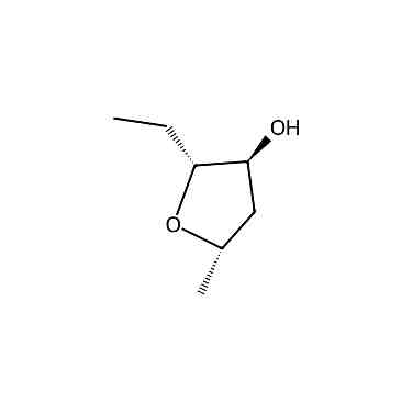 CC[C@H]1O[C@@H](C)C[C@@H]1O